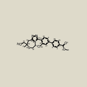 COC(=O)c1ccc(-c2ccc(-c3nnc4n3CCSC(C)(CO)C4)c(Cl)c2)cc1